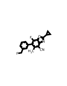 Cc1c(-c2cccc(CF)c2)c(F)c2oc(C3CC3)nc2c1C#N